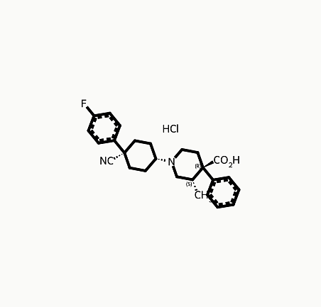 C[C@@H]1CN([C@H]2CC[C@](C#N)(c3ccc(F)cc3)CC2)CC[C@]1(C(=O)O)c1ccccc1.Cl